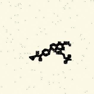 CS(=O)(=O)CCNc1nc(N)nc2ccc(-c3ccc(C(=O)NC4CC4)cc3)nc12